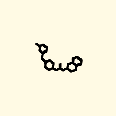 Cc1cccc(CN2CCC(CNCC3CCc4ccccc4C3)CC2)c1